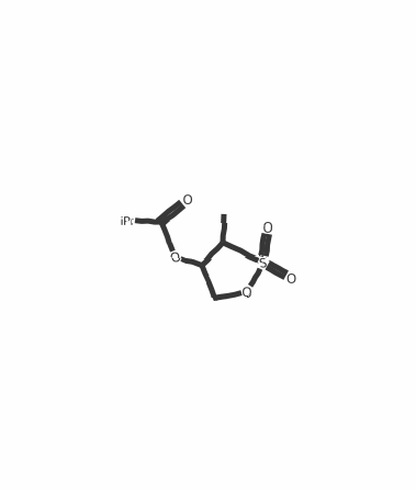 CC(C)C(=O)OC1COS(=O)(=O)C1C